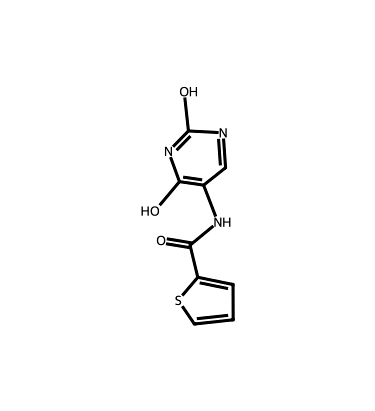 O=C(Nc1cnc(O)nc1O)c1cccs1